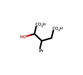 CC(C)C(CC(=O)O)C(O)C(=O)O